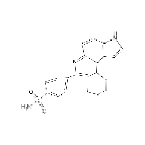 NS(=O)(=O)c1ccc(-c2nc3ccc4[nH]ccc4c3c3c2CCCC3)cc1